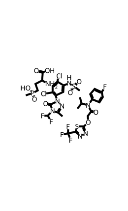 CC(C)N(C(=O)COc1nnc(C(F)(F)F)s1)c1ccc(F)cc1.CP(=O)(O)CCC(N)C(=O)O.Cc1nn(-c2cc(NS(C)(=O)=O)c(Cl)cc2Cl)c(=O)n1C(F)F